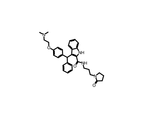 CN(C)CCOc1ccc(C(c2ccccc2)c2c(C(=O)NCCCN3CCCC3=O)[nH]c3ccccc23)cc1